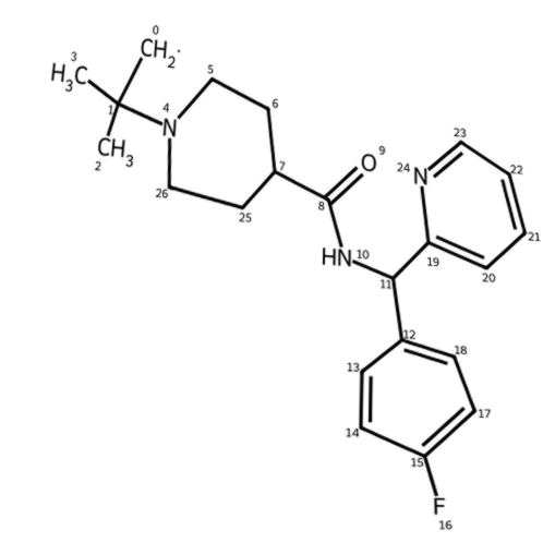 [CH2]C(C)(C)N1CCC(C(=O)NC(c2ccc(F)cc2)c2ccccn2)CC1